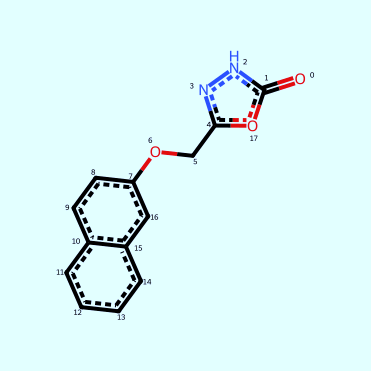 O=c1[nH]nc(COc2ccc3ccccc3c2)o1